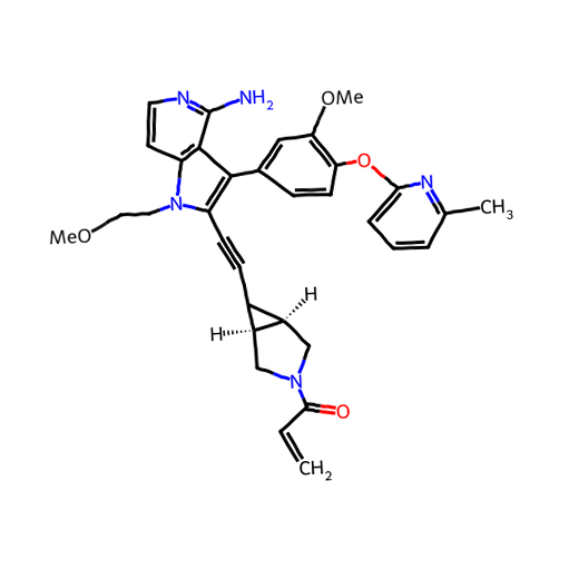 C=CC(=O)N1C[C@@H]2C(C#Cc3c(-c4ccc(Oc5cccc(C)n5)c(OC)c4)c4c(N)nccc4n3CCOC)[C@@H]2C1